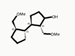 COC[C@@H]1CCC[C@H]1[C@H]1CCC(O)[C@@H]1COC